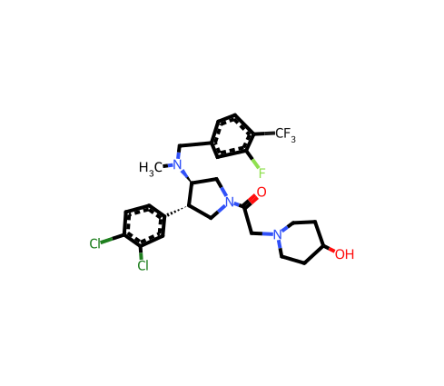 CN(Cc1ccc(C(F)(F)F)c(F)c1)[C@H]1CN(C(=O)CN2CCC(O)CC2)C[C@@H]1c1ccc(Cl)c(Cl)c1